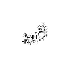 S=c1[nH]cc(Cc2ccc3c(c2)OCO3)[nH]1